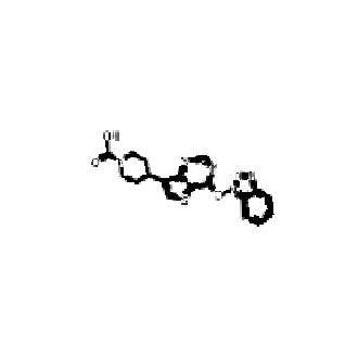 O=C(O)N1CCC(c2csc3c(On4nnc5ccccc54)ncnc23)CC1